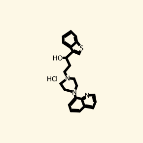 Cl.OC(CCN1CCN(c2cccc3cccnc23)CC1)c1csc2ccccc12